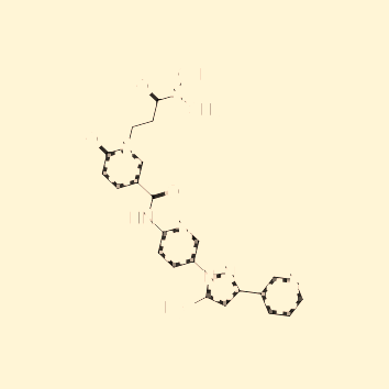 CN(C)C(=O)CCn1cc(C(=O)Nc2ccc(-n3nc(-c4cccnc4)cc3C(F)(F)F)cn2)ccc1=O